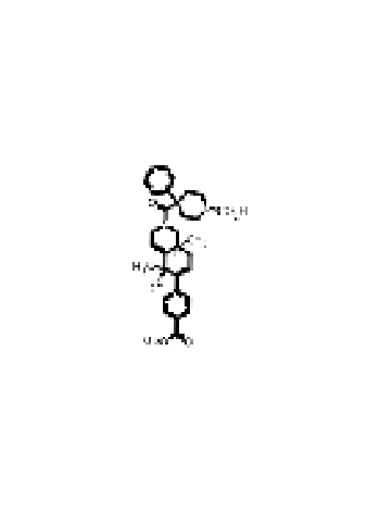 COC(=O)c1ccc(C2=CC[C@]3(C)CN(C(=O)C4(c5ccccc5)CCN(C(=O)O)CC4)CC=C3C2(C)C)cc1